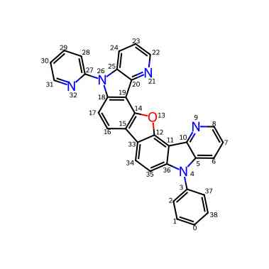 c1ccc(-n2c3cccnc3c3c4oc5c(ccc6c5c5ncccc5n6-c5ccccn5)c4ccc32)cc1